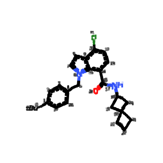 CC(C)(C)c1ccc(Cn2ccc3c(Cl)ccc(C(=O)NC4CC5(CCC5)C4)c32)cc1